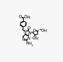 Nc1ncc2c(n1)n([C@@H]1O[C@H](CO)C[C@H]1O)c(=O)n2Cc1ccc(C(=O)O)cc1